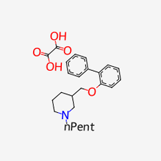 CCCCCN1CCCC(COc2ccccc2-c2ccccc2)C1.O=C(O)C(=O)O